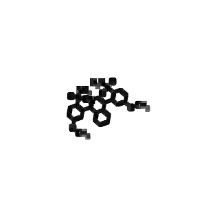 COc1ccc(S(N)(=O)=O)c(-c2cnc(-c3cc(OC)ccc3S(N)(=O)=O)c3ccccc23)c1